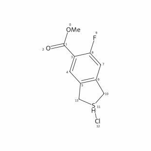 COC(=O)c1cc2c(cc1F)C[SH](Cl)C2